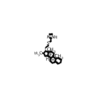 CC1C[C@H]2[C@@H]3CCC4=CCC=C[C@]4(C)[C@@]3(F)CC[C@]2(C)[C@H]1CCSCc1ncc[nH]1